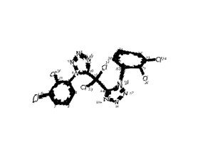 Clc1cccc(-n2nnnc2C(Cl)(Cl)c2nnnn2-c2cccc(Cl)c2Cl)c1Cl